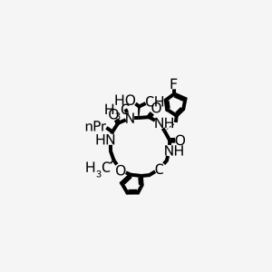 CCCC1NC[C@@H](C)Oc2ccccc2CCCNC(=O)[C@@H](Cc2ccc(F)cc2)NC(=O)[C@H](C(C)O)N(C)C1=O